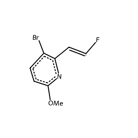 COc1ccc(Br)c(C=[C]F)n1